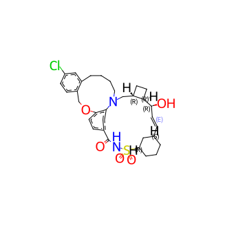 O=C1NS(=O)(=O)[C@@H]2CCC[C@H](/C=C/[C@H](O)[C@@H]3CC[C@H]3CN3CCCCc4cc(Cl)ccc4COc4ccc1cc43)C2